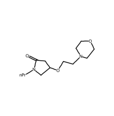 CCCN1CC(OCCN2CCOCC2)CC1=O